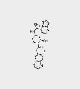 C[C@H](N[C@H]1CC[C@H](NCc2cc3cccnc3cc2F)[C@H](O)C1)c1cccc2ccnn12